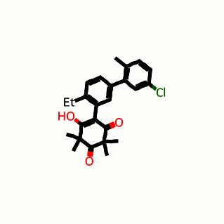 CCc1ccc(-c2cc(Cl)ccc2C)cc1C1=C(O)C(C)(C)C(=O)C(C)(C)C1=O